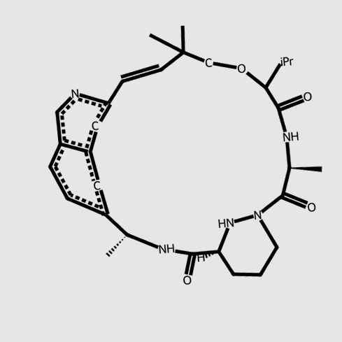 CC(C)C1OCC(C)(C)/C=C/c2cc3cc(ccc3cn2)[C@@H](C)NC(=O)[C@@H]2CCCN(N2)C(=O)[C@H](C)NC1=O